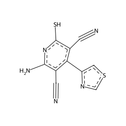 N#Cc1c(N)nc(S)c(C#N)c1-c1cscn1